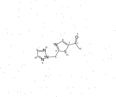 CC(=O)c1cnc(Cn2n[c]cn2)s1